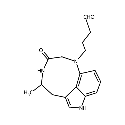 CC1Cc2c[nH]c3cccc(c23)N(CCCC=O)CC(=O)N1